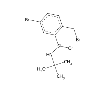 CC(C)(C)N[S+]([O-])c1cc(Br)ccc1CBr